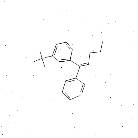 OCCC=C(c1cccnc1)c1cccc(C(F)(F)F)c1